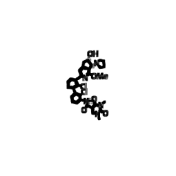 COc1nc(-c2cccc(-c3cccc(NC(=O)c4cn(C)c(=O)n(C)c4=O)c3Cl)c2Cl)cc2c1[C@@H](N1CCCC1)[C@@H](O)C2